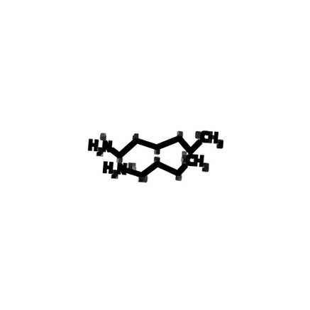 CCCCCCN.CCCCN